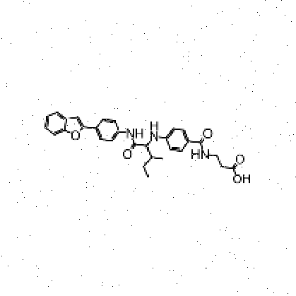 CCC(C)C(Nc1ccc(C(=O)NCCC(=O)O)cc1)C(=O)Nc1ccc(-c2cc3ccccc3o2)cc1